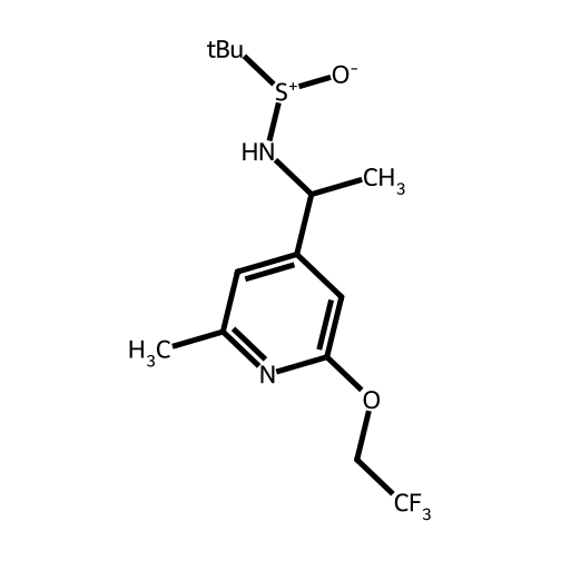 Cc1cc(C(C)N[S+]([O-])C(C)(C)C)cc(OCC(F)(F)F)n1